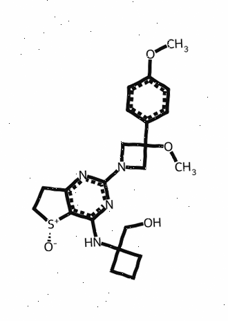 COc1ccc(C2(OC)CN(c3nc4c(c(NC5(CO)CCC5)n3)[S@+]([O-])CC4)C2)cc1